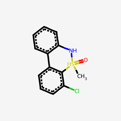 C[SH]1(=O)Nc2ccccc2-c2cccc(Cl)c21